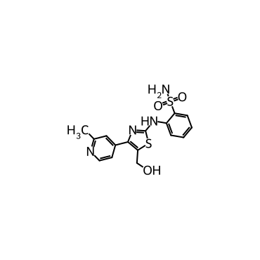 Cc1cc(-c2nc(Nc3ccccc3S(N)(=O)=O)sc2CO)ccn1